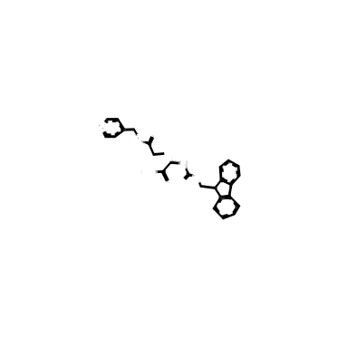 Cl.O=C(CC[C@H](NC(=O)OCC1c2ccccc2-c2ccccc21)C(=O)O)NCc1ccncc1